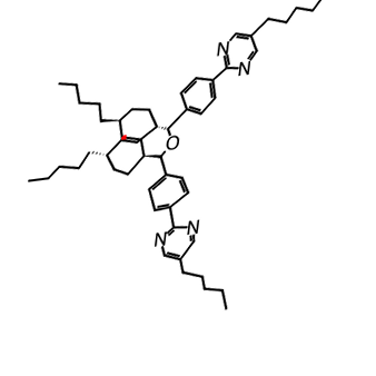 CCCCCc1cnc(-c2ccc(C(OC(c3ccc(-c4ncc(CCCCC)cn4)cc3)[C@H]3CC[C@H](CCCCC)CC3)[C@H]3CC[C@H](CCCCC)CC3)cc2)nc1